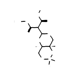 COC(=O)C(C(=O)OC)C1OC[C@@H]2OS(O)(O)OC[C@H]2O1